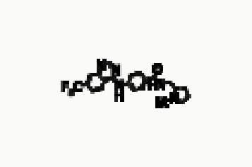 CCN1CCCC1CNC(=O)c1ccc(Nc2ncnc3cc(C(F)(F)F)ccc23)cc1